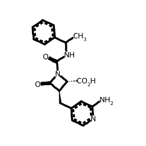 CC(NC(=O)N1C(=O)[C@H](Cc2ccnc(N)c2)[C@H]1C(=O)O)c1ccccc1